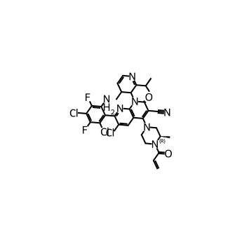 C=CC(=O)N1CCN(c2c(C#N)c(=O)n(C3C(C(C)C)=NC=CC3C)c3nc(-c4c(N)c(F)c(Cl)c(F)c4Cl)c(Cl)cc23)C[C@H]1C